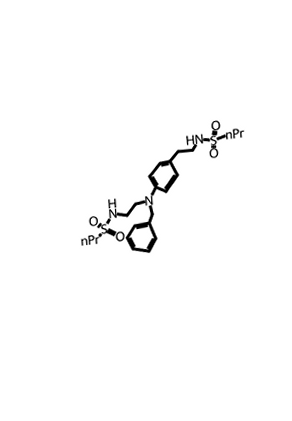 CCCS(=O)(=O)NCCc1ccc(N(CCNS(=O)(=O)CCC)Cc2ccccc2)cc1